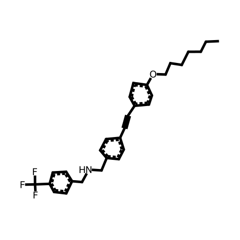 CCCCCCCOc1ccc(C#Cc2ccc(CNCc3ccc(C(F)(F)F)cc3)cc2)cc1